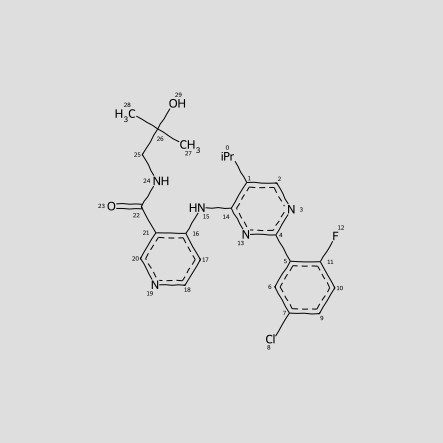 CC(C)c1cnc(-c2cc(Cl)ccc2F)nc1Nc1ccncc1C(=O)NCC(C)(C)O